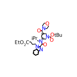 CCOC(=O)CCCn1c(C(=O)N(CC(C)C)[C@H]2C[C@@H](C(=O)N3CCOCC3)CN(C(=O)OC(C)(C)C)C2)nc2ccccc21